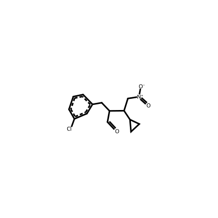 O=CC(Cc1cccc(Cl)c1)C(C[N+](=O)[O-])C1CC1